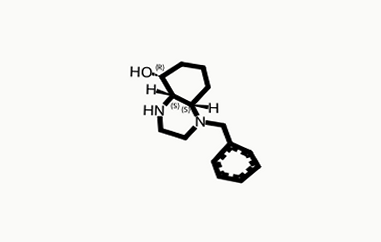 O[C@@H]1CCC[C@H]2[C@@H]1NCCN2Cc1ccccc1